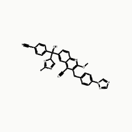 COc1nc2ccc(C(O)(c3ccc(C#N)cc3)C3C=NC(C)=N3)cc2c(C#N)c1Cc1ccc(-n2cncn2)cc1